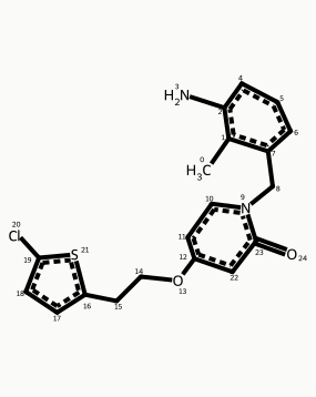 Cc1c(N)cccc1Cn1ccc(OCCc2ccc(Cl)s2)cc1=O